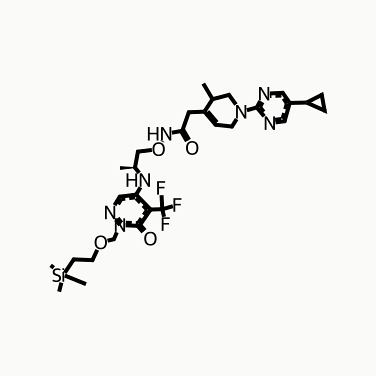 CC1CN(c2ncc(C3CC3)cn2)CC=C1CC(=O)NOC[C@H](C)Nc1cnn(COCC[Si](C)(C)C)c(=O)c1C(F)(F)F